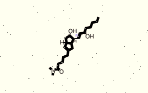 CCCCC[C@@H](O)/C=C/[C@H]1C2CC(CCCCC(=O)N(C)C)=C[C@@H]2C[C@@H]1O